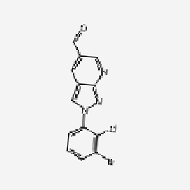 O=Cc1cnc2nn(-c3cccc(Br)c3Cl)cc2c1